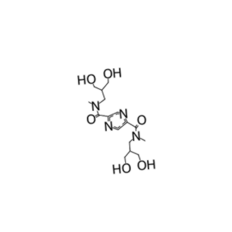 CN(CC(CO)CO)C(=O)c1cnc(C(=O)N(C)CC(CO)CO)cn1